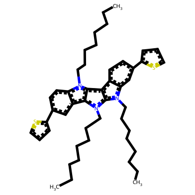 CCCCCCCCn1c2ccc(-c3cccs3)cc2c2c1c1c3ccc(-c4cccs4)cc3n(CCCCCCCC)c1n2CCCCCCCC